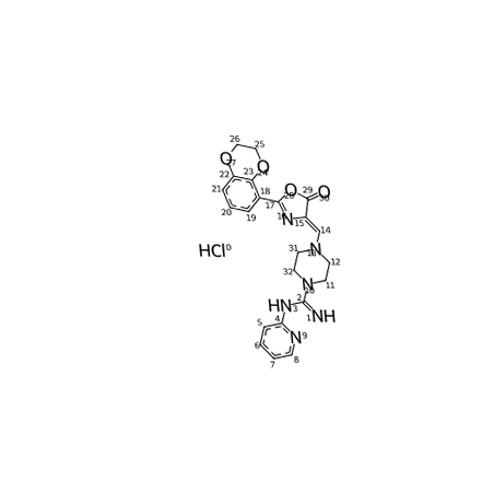 Cl.N=C(Nc1ccccn1)N1CCN(C=C2N=C(c3cccc4c3OCCO4)OC2=O)CC1